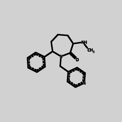 CNC1CCCC(c2ccccc2)N(Cc2ccncc2)C1=O